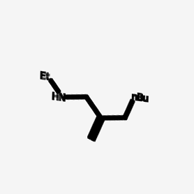 C=C(CCCCC)CNCC